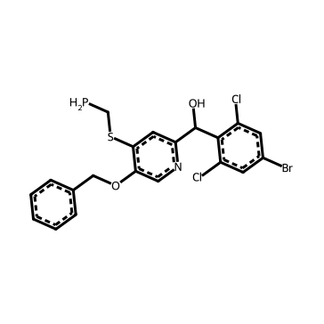 OC(c1cc(SCP)c(OCc2ccccc2)cn1)c1c(Cl)cc(Br)cc1Cl